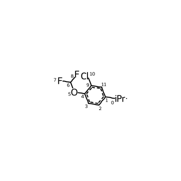 C[C](C)c1ccc(OC(F)F)c(Cl)c1